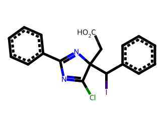 O=C(O)CC1(C(I)c2ccccc2)N=C(c2ccccc2)N=C1Cl